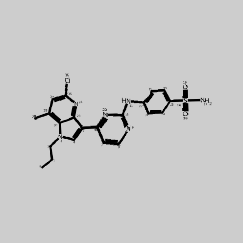 CCCn1cc(-c2ccnc(Nc3ccc(S(N)(=O)=O)cc3)n2)c2nc(Cl)cc(C)c21